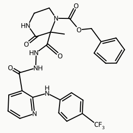 CC1(C(=O)NNC(=O)c2cccnc2Nc2ccc(C(F)(F)F)cc2)C(=O)NCCN1C(=O)OCc1ccccc1